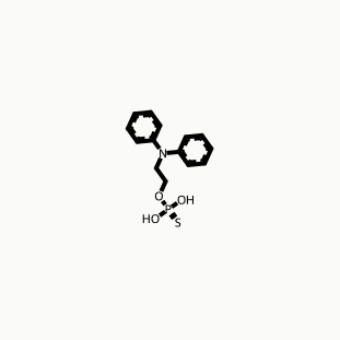 OP(O)(=S)OCCN(c1ccccc1)c1ccccc1